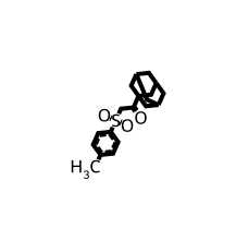 Cc1ccc(S(=O)(=O)CC(=O)C23CC4CC(CC(C4)C2)C3)cc1